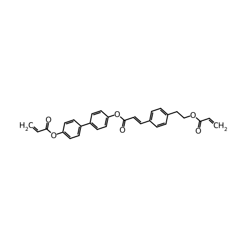 C=CC(=O)OCCc1ccc(/C=C/C(=O)Oc2ccc(-c3ccc(OC(=O)C=C)cc3)cc2)cc1